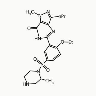 CCCc1nn(C)c2c(=O)[nH]c(-c3cc(S(=O)(=O)N4CCNCC4C)ccc3OCC)nc12